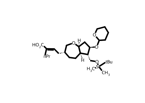 CCC/C(=C\C[C@H]1CC[C@@H]2[C@@H](CO[Si](C)(C)C(C)(C)C)[C@H](OC3CCCCO3)C[C@@H]2OC1)C(=O)O